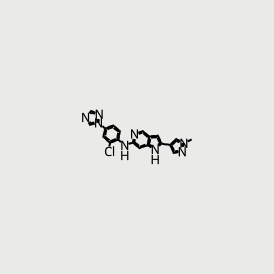 Cn1cc(-c2cc3cnc(Nc4ccc(-n5cncn5)cc4Cl)cc3[nH]2)cn1